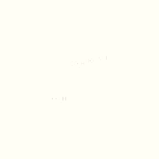 CC(C)(CC(O)CO)CC(CCCCCCCCCC(=O)O)C(=O)O